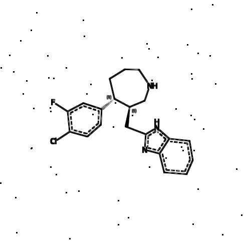 Fc1cc([C@@H]2CCCNC[C@H]2Cc2nc3ccccc3[nH]2)ccc1Cl